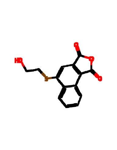 O=C1OC(=O)c2c1cc(SCCO)c1ccccc21